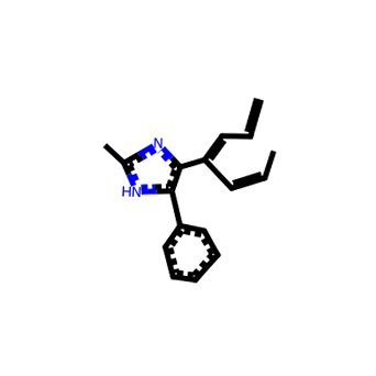 C=C/C=C(\C=C/C)c1nc(C)[nH]c1-c1ccccc1